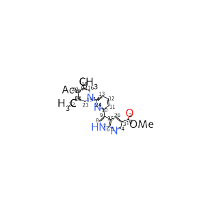 COC(=O)c1cnc2[nH]cc(-c3cccc(N4C[C@@H](C)C(C(C)=O)[C@@H](C)C4)n3)c2c1